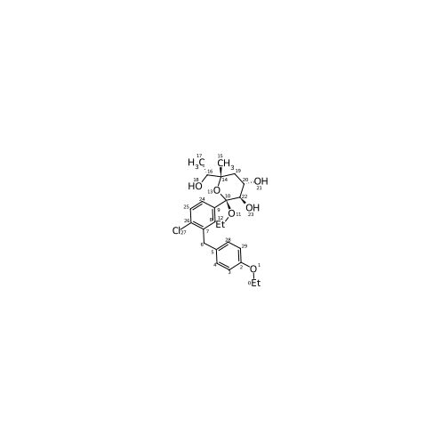 CCOc1ccc(Cc2cc([C@]3(OCC)O[C@](C)([C@@H](C)O)C[C@H](O)[C@H]3O)ccc2Cl)cc1